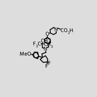 COc1ccc(C2(CCN(Cc3ccc(OC4CCN(CC(=O)O)CC4)cc3)CC(C)(C)C(F)(F)F)CCC(F)(F)CC2)cc1